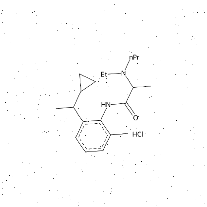 CCCN(CC)C(C)C(=O)Nc1c(C)cccc1C(C)C1CC1.Cl